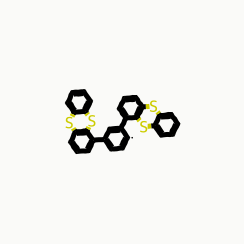 [c]1ccc(-c2cccc3c2Sc2ccccc2S3)cc1-c1cccc2c1Sc1ccccc1S2